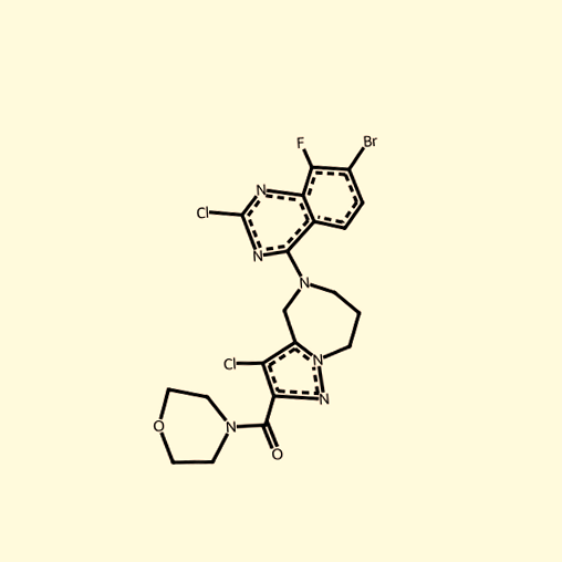 O=C(c1nn2c(c1Cl)CN(c1nc(Cl)nc3c(F)c(Br)ccc13)CCC2)N1CCOCC1